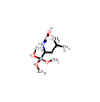 CO[Si](OC)(OC)C(CC(C)C)N=C=O